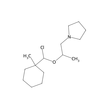 CC(CN1CCCC1)OC(Cl)C1(C)CCCCC1